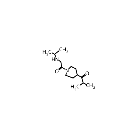 CC(C)NCC(=O)N1CCC(C(=O)C(C)C)CC1